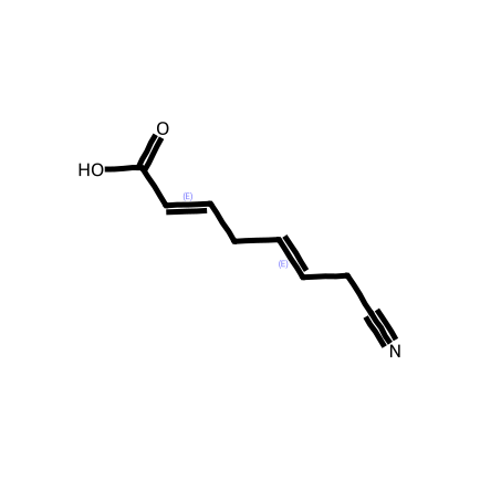 N#CC/C=C/C/C=C/C(=O)O